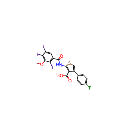 COc1c(I)c(I)cc(C(=O)Nc2scc(-c3ccc(F)cc3)c2C(=O)O)c1I